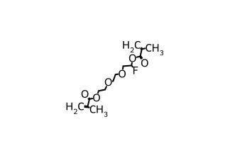 C=C(C)C(=O)OCCOCCOCC(F)OC(=O)C(=C)C